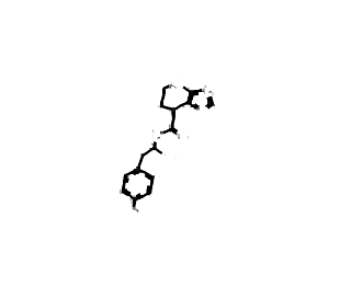 O=C(NC(Cl)Cc1ccc(Cl)cc1)C1CCOc2ncsc21